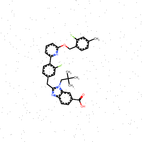 Cc1ccc(COc2cccc(-c3ccc(Cc4nc5ccc(C(=O)O)cc5n4CC(C)(C)C)cc3F)n2)c(F)c1